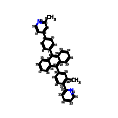 Cc1cc(-c2ccc(-c3c4ccccc4c(-c4ccc(-c5ccccn5)c(C)c4)c4ccccc34)cc2)ccn1